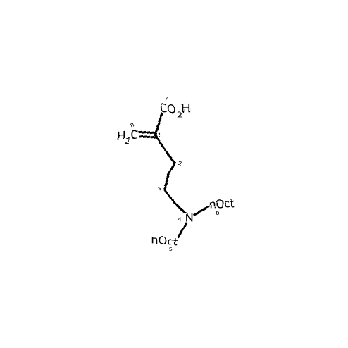 C=C(CCN(CCCCCCCC)CCCCCCCC)C(=O)O